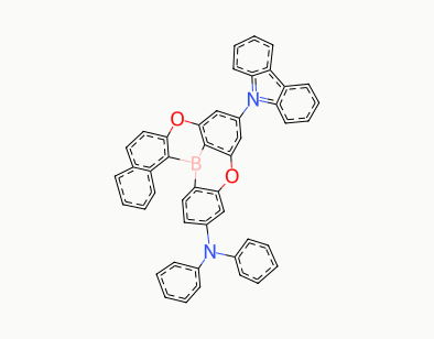 c1ccc(N(c2ccccc2)c2ccc3c(c2)Oc2cc(-n4c5ccccc5c5ccccc54)cc4c2B3c2c(ccc3ccccc23)O4)cc1